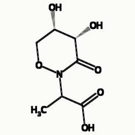 CC(C(=O)O)N1OC[C@H](O)[C@H](O)C1=O